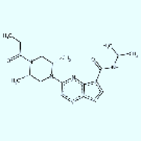 CCC(=O)N1C[C@H](C)N(c2cnc3[nH]cc(C(=O)NC(C)C)c3n2)C[C@@H]1C